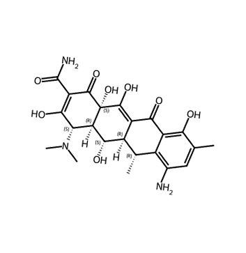 Cc1cc(N)c2c(c1O)C(=O)C1=C(O)[C@]3(O)C(=O)C(C(N)=O)=C(O)[C@@H](N(C)C)[C@@H]3[C@@H](O)[C@@H]1[C@H]2C